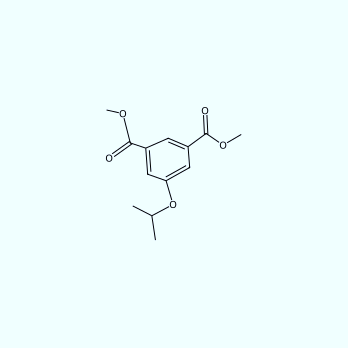 COC(=O)c1cc(OC(C)C)cc(C(=O)OC)c1